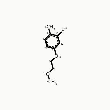 COCCOc1ccc(C)c(F)c1